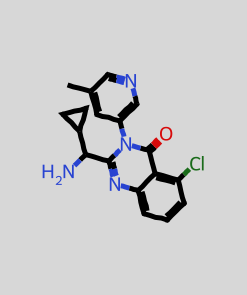 Cc1cncc(-n2c(C(N)C3CC3)nc3cccc(Cl)c3c2=O)c1